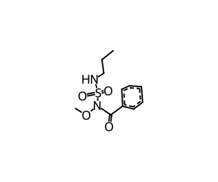 CCCNS(=O)(=O)N(OC)C(=O)c1ccccc1